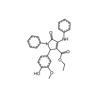 CCOC(=O)C1=C(Nc2ccccc2)C(=O)N(c2ccccc2)C1c1ccc(O)c(OC)c1